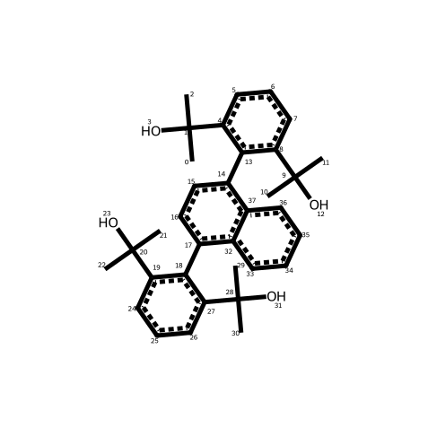 CC(C)(O)c1cccc(C(C)(C)O)c1-c1ccc(-c2c(C(C)(C)O)cccc2C(C)(C)O)c2ccccc12